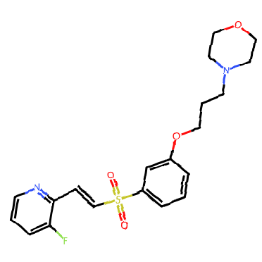 O=S(=O)(/C=C/c1ncccc1F)c1cccc(OCCCN2CCOCC2)c1